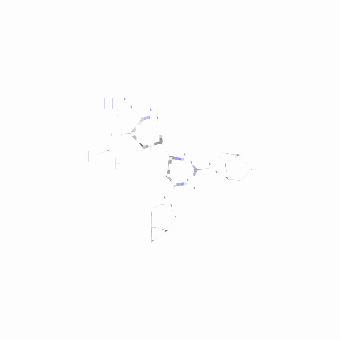 Nc1ncc(-c2cc(N3CC4CC4C3)nc(N3CC4CCC3C4)n2)cc1OC(F)F